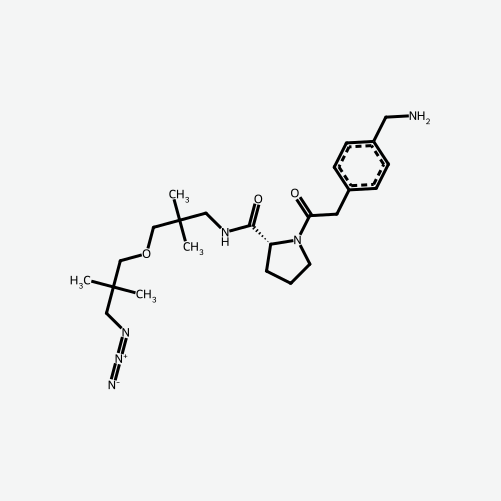 CC(C)(CN=[N+]=[N-])COCC(C)(C)CNC(=O)[C@H]1CCCN1C(=O)Cc1ccc(CN)cc1